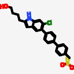 O=[SH](=O)Cc1ccc(-c2ccc(-c3cc4cc(CCCCO)[nH]c4cc3Cl)cc2)cc1